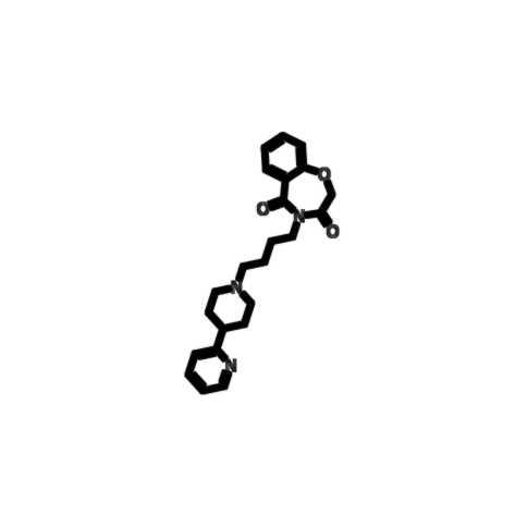 O=C1COc2ccccc2C(=O)N1CCCCN1CCC(c2ccccn2)CC1